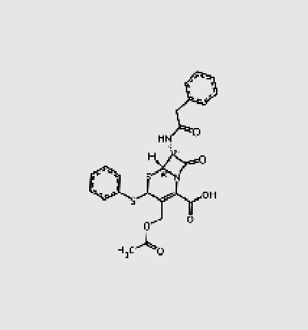 CC(=O)OCC1=C(C(=O)O)N2C(=O)[C@@H](NC(=O)Cc3ccccc3)[C@H]2SC1Sc1ccccc1